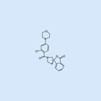 O=C1O[C@]2(CCN(C(=O)c3ccc(N4CCOCC4)cc3Cl)C2)c2ccccc21